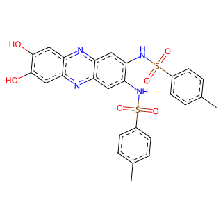 Cc1ccc(S(=O)(=O)Nc2cc3nc4cc(O)c(O)cc4nc3cc2NS(=O)(=O)c2ccc(C)cc2)cc1